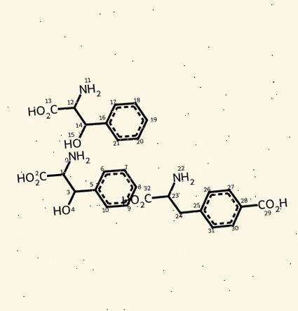 NC(C(=O)O)C(O)c1ccccc1.NC(C(=O)O)C(O)c1ccccc1.NC(Cc1ccc(C(=O)O)cc1)C(=O)O